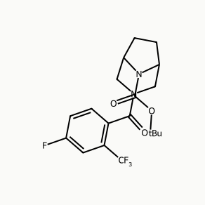 CC(C)(C)OC(=O)N1C2CCC1CN(C(=O)c1ccc(F)cc1C(F)(F)F)C2